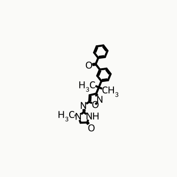 CN1CC(=O)N/C1=N\c1cc(C(C)(C)c2cccc(C(=O)c3ccccc3)c2)no1